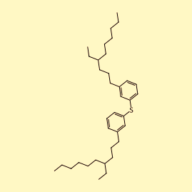 CCCCCCC(CC)CCCc1cccc(Sc2cccc(CCCC(CC)CCCCCC)c2)c1